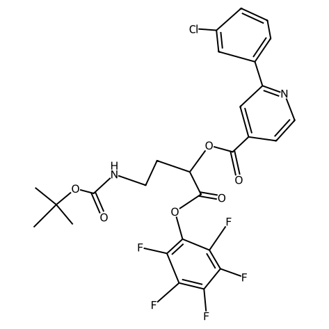 CC(C)(C)OC(=O)NCCC(OC(=O)c1ccnc(-c2cccc(Cl)c2)c1)C(=O)Oc1c(F)c(F)c(F)c(F)c1F